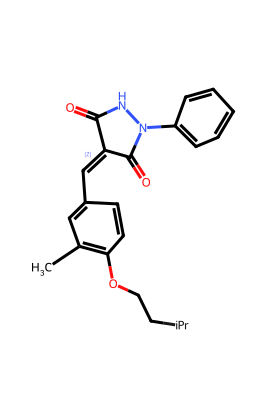 Cc1cc(/C=C2/C(=O)NN(c3ccccc3)C2=O)ccc1OCCC(C)C